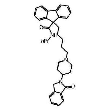 CCCNC(=O)C1(CCCCCN2CCC(N3Cc4ccccc4C3=O)CC2)c2ccccc2-c2ccccc21